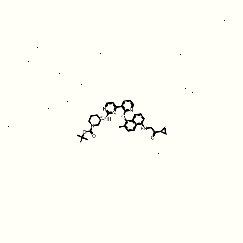 Cc1ccc2c(NCC(=O)C3CC3)cccc2c1Oc1ncccc1-c1ccnc(N[C@H]2CCCN(C(=O)OC(C)(C)C)C2)n1